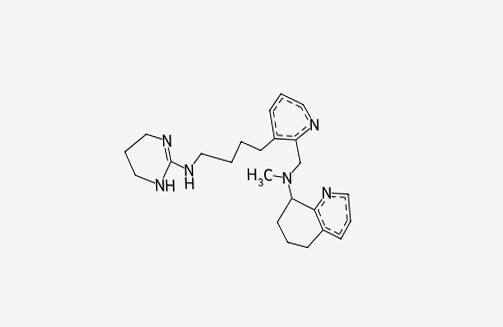 CN(Cc1ncccc1CCCCNC1=NCCCN1)C1CCCc2cccnc21